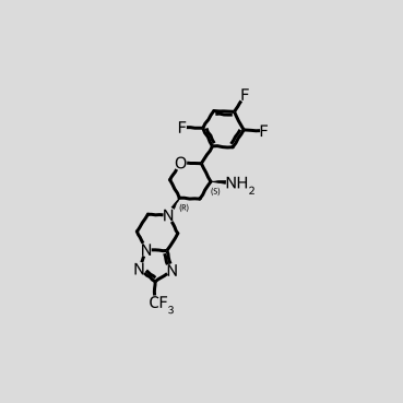 N[C@H]1C[C@@H](N2CCn3nc(C(F)(F)F)nc3C2)COC1c1cc(F)c(F)cc1F